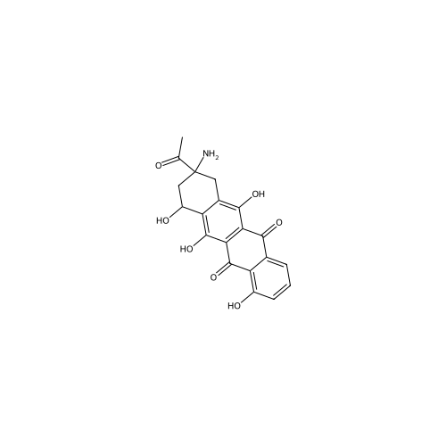 CC(=O)C1(N)Cc2c(O)c3c(c(O)c2C(O)C1)C(=O)c1c(O)cccc1C3=O